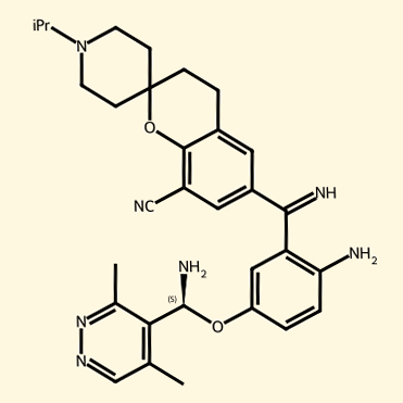 Cc1cnnc(C)c1[C@@H](N)Oc1ccc(N)c(C(=N)c2cc(C#N)c3c(c2)CCC2(CCN(C(C)C)CC2)O3)c1